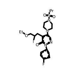 CCOCC(I)Cc1c(N2CCN(S(=O)(=O)C(C)C)CC2)cnn(-c2ccc(F)cc2)c1=O